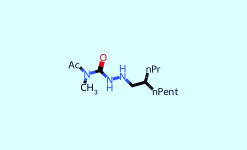 CCCCCC(CCC)CNNC(=O)N(C)C(C)=O